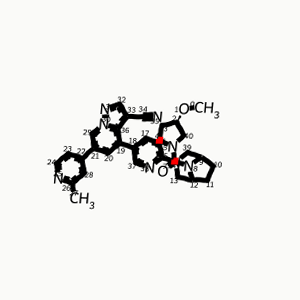 CO[C@H]1CCN(C(=O)N2C3CCC2CN(c2ccc(-c4cc(-c5ccnc(C)c5)cn5ncc(C#N)c45)cn2)C3)C1